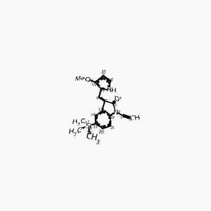 C#CN1C(=O)/C(=C\c2[nH]ccc2OC)c2cc([Si](C)(C)C)ccc21